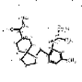 Cc1ccc(CN2CCCC23CCN(C(=O)OC(C)(C)C)CC3)c(N[C@@H](C)C(=O)O)c1